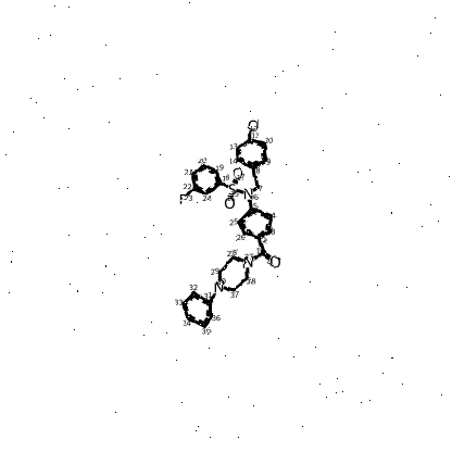 O=C(c1ccc(N(Cc2ccc(Cl)cc2)S(=O)(=O)c2cccc(F)c2)cc1)N1CCN(c2ccccc2)CC1